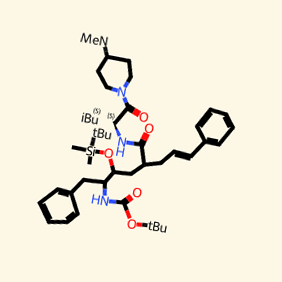 CC[C@H](C)[C@H](NC(=O)C(CC=Cc1ccccc1)CC(O[Si](C)(C)C(C)(C)C)C(Cc1ccccc1)NC(=O)OC(C)(C)C)C(=O)N1CCC(NC)CC1